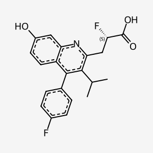 CC(C)c1c(C[C@H](F)C(=O)O)nc2cc(O)ccc2c1-c1ccc(F)cc1